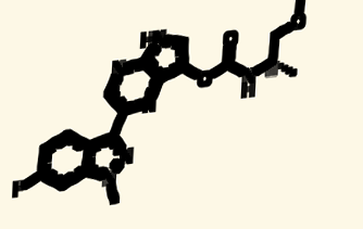 C[C@@H](COCC#N)NC(=O)Oc1c[nH]c2ncc(-c3nn(C)c4cc(F)ccc34)nc12